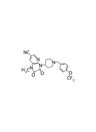 Cn1c(=O)c(=O)n(C2CCN(Cc3ccc(OC(F)(F)F)cc3)CC2)c2ncc(C#N)cc21